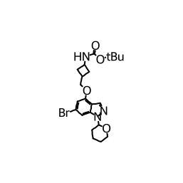 CC(C)(C)OC(=O)NC1CC(COc2cc(Br)cc3c2cnn3C2CCCCO2)C1